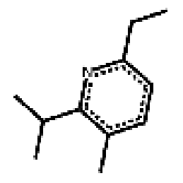 CCc1ccc(C)c(C(C)C)n1